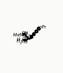 C=C(C)C(=O)OCC(CCCOC(=O)C(=C)CNC)Cc1ccc(-c2ccc(C3CCC(C4CCC(CCC)CC4)CC3)cc2)cc1